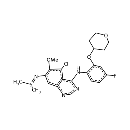 COc1c(N=S(C)C)cc2ncnc(Nc3ccc(F)cc3OC3CCOCC3)c2c1Cl